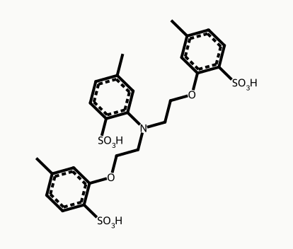 Cc1ccc(S(=O)(=O)O)c(OCCN(CCOc2cc(C)ccc2S(=O)(=O)O)c2cc(C)ccc2S(=O)(=O)O)c1